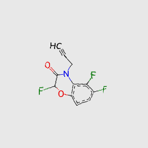 C#CCN1C(=O)C(F)Oc2ccc(F)c(F)c21